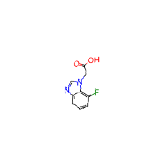 O=C(O)Cn1cnc2cccc(F)c21